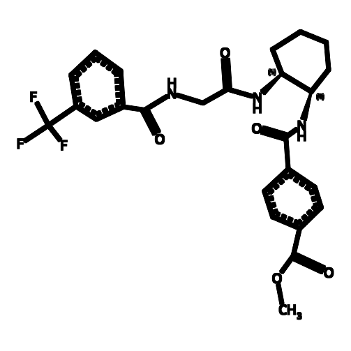 COC(=O)c1ccc(C(=O)N[C@@H]2CCCC[C@@H]2NC(=O)CNC(=O)c2cccc(C(F)(F)F)c2)cc1